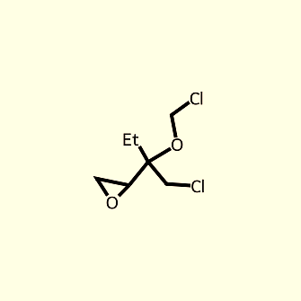 CCC(CCl)(OCCl)C1CO1